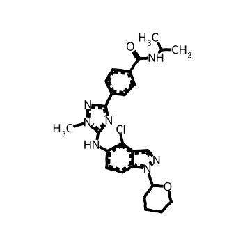 CC(C)NC(=O)c1ccc(-c2nc(Nc3ccc4c(cnn4C4CCCCO4)c3Cl)n(C)n2)cc1